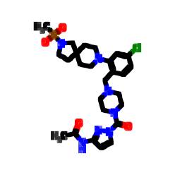 CC(=O)Nc1ccn(C(=O)N2CCN(Cc3ccc(Cl)cc3N3CCC4(CC3)CCN(S(C)(=O)=O)C4)CC2)n1